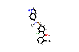 Cc1ccccc1C(=O)c1ccc(SN(C)c2ccc3[nH]ccc3c2)cc1Cl